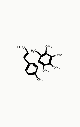 CCOC(=O)C=Cc1ccc(C)cc1.COc1cc(C)c(OC)c(OC)c1OC